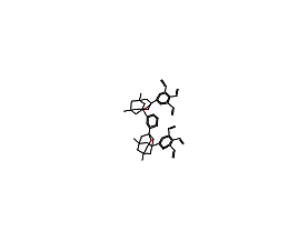 C=Cc1cc(C23CC4(C)CC(C)(CC(c5cccc(C67CC8(C)CC(C)(C6)CC(c6cc(C=C)c(C=C)c(C=C)c6)(C8)C7)c5)(C4)C2)C3)cc(C=C)c1C=C